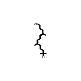 CC(=O)CCCC(C)=CCC=C(C)CCCC(C)(C)O